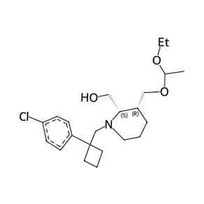 CCOC(C)OC[C@@H]1CCCN(CC2(c3ccc(Cl)cc3)CCC2)[C@@H]1CO